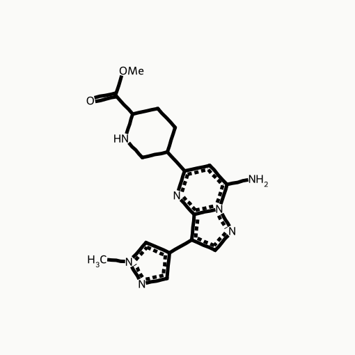 COC(=O)C1CCC(c2cc(N)n3ncc(-c4cnn(C)c4)c3n2)CN1